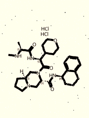 CN[C@@H](C)C(=O)N[C@H](C(=O)N1C[C@@H]2CCCN2C[C@H]1C(=O)N[C@@H]1CCCc2ccccc21)C1CCOCC1.Cl.Cl